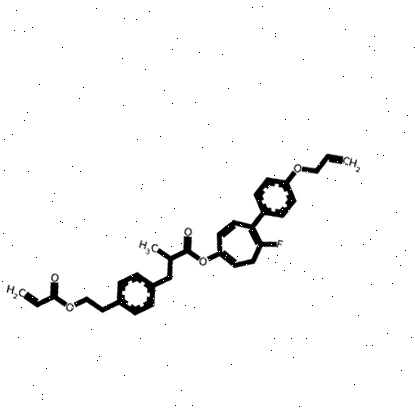 C=CCOc1ccc(C2=C(F)CC=C(OC(=O)C(C)Cc3ccc(CCOC(=O)C=C)cc3)C=C2)cc1